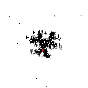 CC(C)(C)C1=CCC(N(c2cc3c4c(c2)C(C)(C)c2cc(N(c5ccc(C(C)(C)C)cc5)c5ccc6c(c5)C(C)(C)c5ccccc5-6)cc5c2N4c2c(cc(N(c4ccc(C(C)(C)C)cc4)c4ccc6c(c4)C(C)(C)c4ccccc4-6)cc2C3(C)C)C5(C)C)c2ccc3c(c2)C(C)(C)C2C=CC=CC32)C=C1